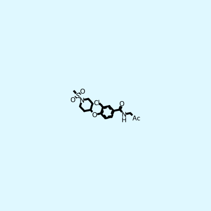 CC(=O)CNC(=O)c1ccc(OC2CCN(S(C)(=O)=O)CC2)c(Cl)c1